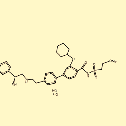 COCCS(=O)(=O)NC(=O)c1ccc(-c2ccc(CCNC[C@@H](O)c3cccnc3)cc2)cc1OC1CCCCC1.Cl.Cl